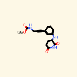 CC(C)(C)OC(=O)NCC#Cc1cccc(NC2CCC(=O)NC2=O)c1